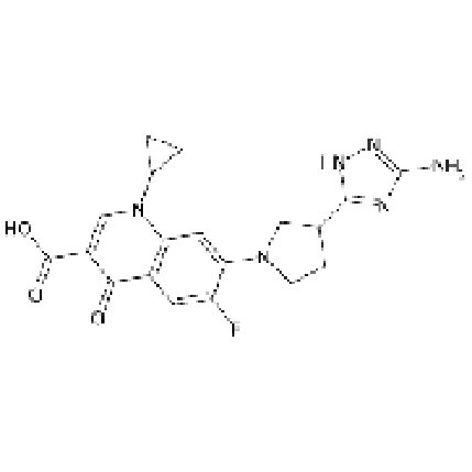 Nc1n[nH]c(C2CCN(c3cc4c(cc3F)c(=O)c(C(=O)O)cn4C3CC3)C2)n1